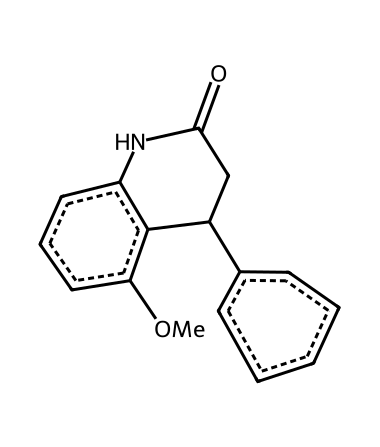 COc1cccc2c1C(c1ccccc1)CC(=O)N2